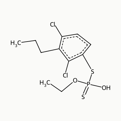 CCCc1c(Cl)ccc(SP(O)(=S)OCC)c1Cl